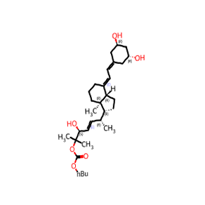 CCCCOC(=O)OC(C)(C)[C@@H](O)/C=C/[C@@H](C)[C@H]1CC[C@H]2/C(=C/C=C3C[C@@H](O)C[C@H](O)C3)CCC[C@]12C